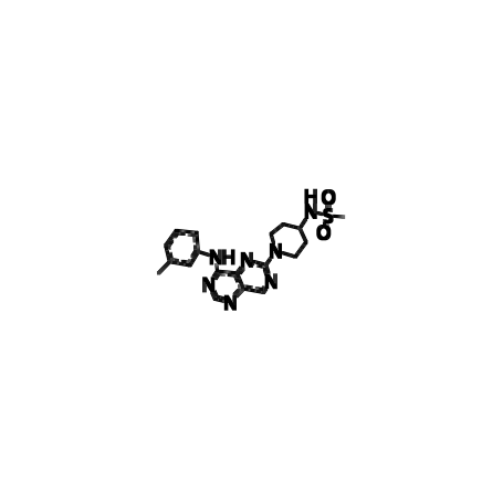 Cc1cccc(Nc2ncnc3cnc(N4CCC(NS(C)(=O)=O)CC4)nc23)c1